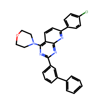 Clc1ccc(-c2ccc3c(N4CCOCC4)nc(-c4cccc(-c5ccccc5)c4)nc3n2)cc1